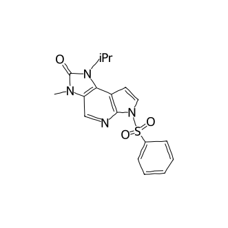 CC(C)n1c(=O)n(C)c2cnc3c(ccn3S(=O)(=O)c3ccccc3)c21